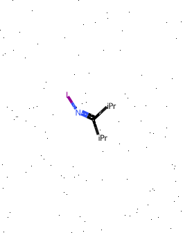 CC(C)C(=NI)C(C)C